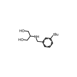 CC(C)(C)c1cccc(CNC(CO)CO)c1